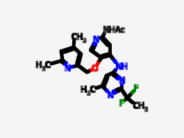 CC(=O)Nc1cc(Nc2cc(C)nc(C(C)(F)F)n2)c(OCc2cc(C)cc(C)n2)cn1